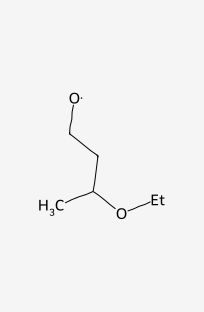 CCOC(C)CC[O]